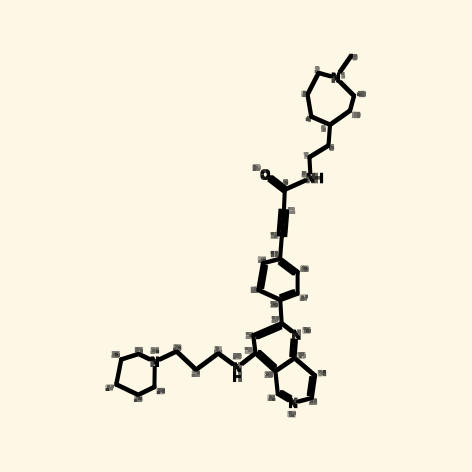 CN1CCCC(CCNC(=O)C#Cc2ccc(-c3cc(NCCCN4CCCCC4)c4cnccc4n3)cc2)CC1